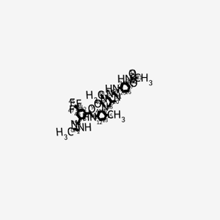 Cc1c[nH]c(-c2cc(C(=O)Nc3ccc(C)c(N4Cc5cnc(Nc6cccc(NS(C)(=O)=O)c6)nc5N(C)C4=O)c3)cc(C(F)(F)F)c2)n1